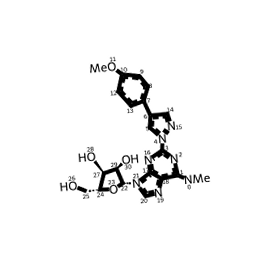 CNc1nc(-n2cc(-c3ccc(OC)cc3)cn2)nc2c1ncn2[C@@H]1O[C@H](CO)[C@@H](O)[C@H]1O